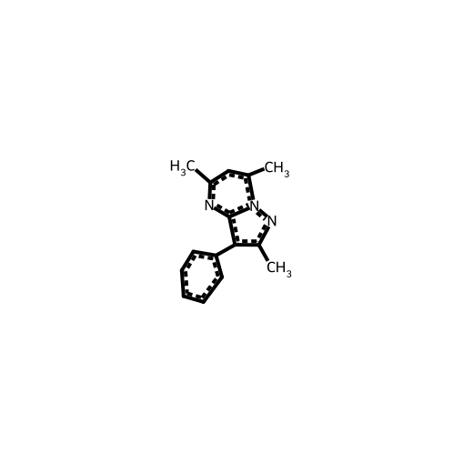 Cc1cc(C)n2nc(C)c(-c3ccccc3)c2n1